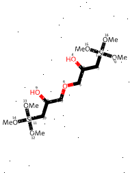 CO[Si](CC(O)COCC(O)C[Si](OC)(OC)OC)(OC)OC